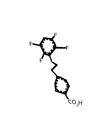 O=C(O)c1ccc(CCc2c(F)c(F)cc(F)c2F)cc1